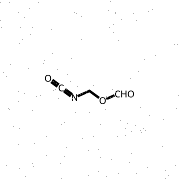 O=C=NCOC=O